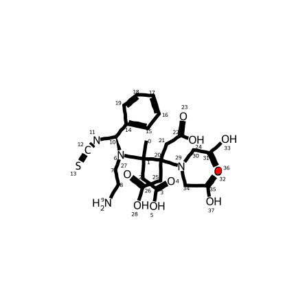 CC(CC(=O)O)(N(CCN)[C@@H](N=C=S)c1ccccc1)C(CC(=O)O)(CC(=O)O)N(CC(=O)O)CC(=O)O